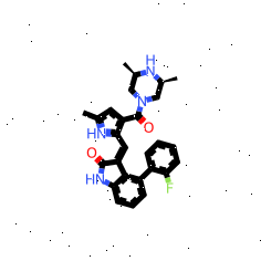 Cc1cc(C(=O)N2C[C@@H](C)N[C@@H](C)C2)c(C=C2C(=O)Nc3cccc(-c4ccccc4F)c32)[nH]1